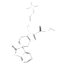 CCOC(=O)c1cc2c(n1COCC[Si](C)(C)C)CC[C@]1(C2)C(=O)Nc2ncccc21